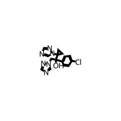 OC(Cn1cncn1)(c1ccc(Cl)cc1)C1(n2cncn2)CC1